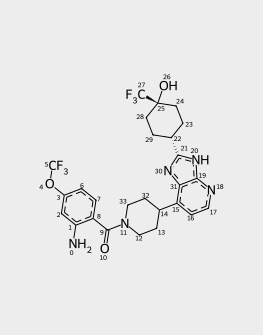 Nc1cc(OC(F)(F)F)ccc1C(=O)N1CCC(c2ccnc3[nH]c([C@H]4CC[C@](O)(C(F)(F)F)CC4)nc23)CC1